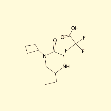 CCC1CN(C2CCC2)C(=O)CN1.O=C(O)C(F)(F)F